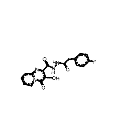 O=C(Cc1ccc(F)cc1)NNC(=O)c1nc2ccccn2c(=O)c1O